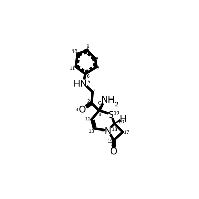 NC1(C(=O)CNc2ccccc2)C=CN2C(=O)C[C@H]2S1